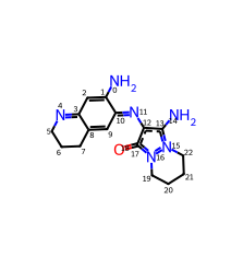 NC1=CC2=NCCCC2=CC1=Nc1c(N)n2n(c1=O)CCCC2